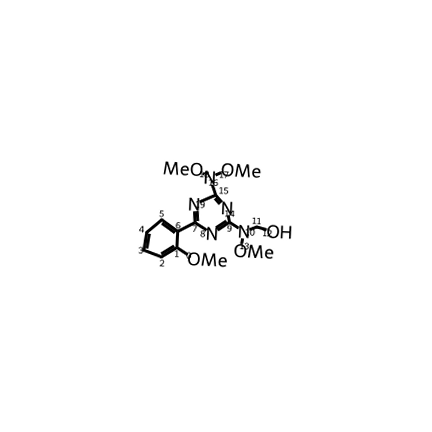 COc1ccccc1-c1nc(N(CO)OC)nc(N(OC)OC)n1